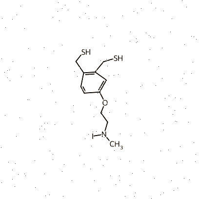 CN(I)CCOc1ccc(CS)c(CS)c1